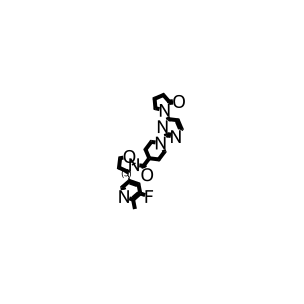 Cc1ncc([C@@H]2CCON2C(=O)C2CCN(c3nccc(N4CCCC4=O)n3)CC2)cc1F